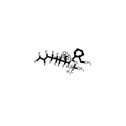 C=Cc1ccccc1[Si](O[Si](C)(C)C)(O[Si](C)(C)C)C(F)C(F)(F)C(F)(F)C(F)(F)C(F)(F)C(F)C(F)C(F)F